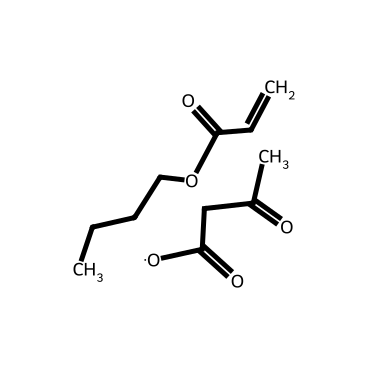 C=CC(=O)OCCCC.CC(=O)CC([O])=O